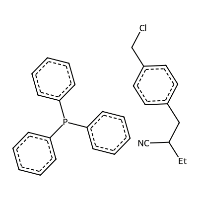 CCC(C#N)Cc1ccc(CCl)cc1.c1ccc(P(c2ccccc2)c2ccccc2)cc1